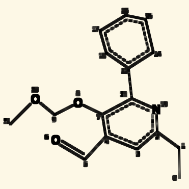 CCc1cc(C=O)c(OCOC)c(-c2ccccc2)n1